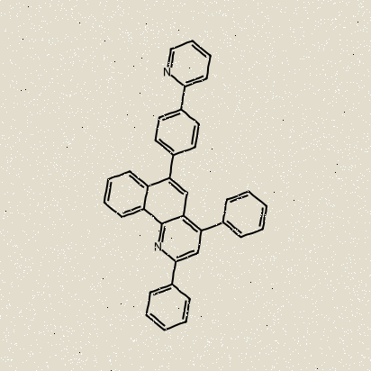 c1ccc(-c2cc(-c3ccccc3)c3cc(-c4ccc(-c5ccccn5)cc4)c4ccccc4c3n2)cc1